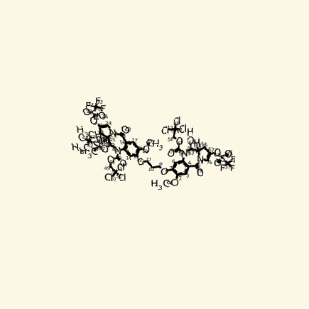 COc1cc2c(cc1OCCCOc1cc3c(cc1OC)C(=O)N1C=C(OS(=O)(=O)C(F)(F)F)C[C@@H]1[C@H](O[Si](C)(C)C(C)(C)C)N3C(=O)OCC(Cl)(Cl)Cl)N(C(=O)OCC(Cl)(Cl)Cl)[C@@H](O)[C@@H]1CC(OS(=O)(=O)C(F)(F)F)=CN1C2=O